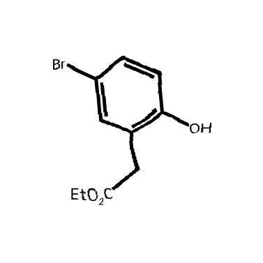 CCOC(=O)Cc1cc(Br)ccc1O